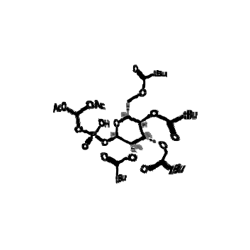 CC(=O)OC(OC(C)=O)OP(=O)(O)O[C@H]1O[C@H](COC(=O)C(C)(C)C)[C@@H](OC(=O)C(C)(C)C)[C@H](OC(=O)C(C)(C)C)[C@@H]1OC(=O)C(C)(C)C